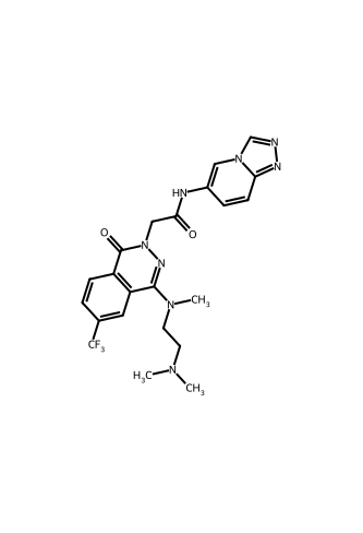 CN(C)CCN(C)c1nn(CC(=O)Nc2ccc3nncn3c2)c(=O)c2ccc(C(F)(F)F)cc12